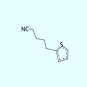 N#CCCCCc1cccs1